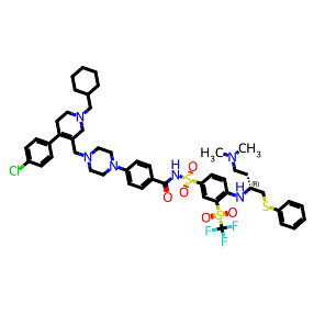 CN(C)CC[C@H](CSc1ccccc1)Nc1ccc(S(=O)(=O)NC(=O)c2ccc(N3CCN(CC4=C(c5ccc(Cl)cc5)CCN(CC5CCCCC5)C4)CC3)cc2)cc1S(=O)(=O)C(F)(F)F